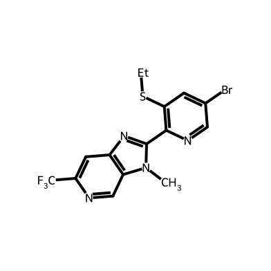 CCSc1cc(Br)cnc1-c1nc2cc(C(F)(F)F)ncc2n1C